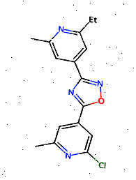 CCc1cc(-c2noc(-c3cc(C)nc(Cl)c3)n2)cc(C)n1